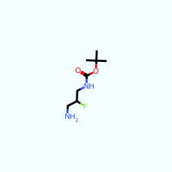 CC(C)(C)OC(=O)NCC(F)CN